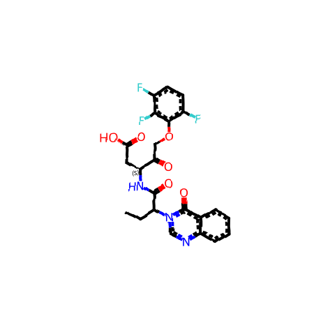 CCC(C(=O)N[C@@H](CC(=O)O)C(=O)COc1c(F)ccc(F)c1F)n1cnc2ccccc2c1=O